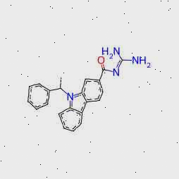 CC(c1ccccc1)n1c2ccccc2c2ccc(C(=O)N=C(N)N)cc21